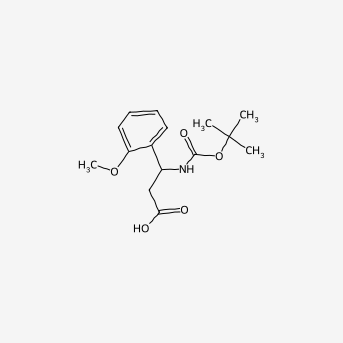 COc1ccccc1C(CC(=O)O)NC(=O)OC(C)(C)C